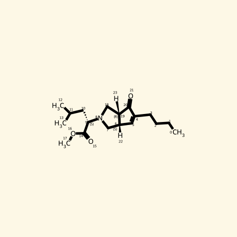 CCCCC1=C[C@@H]2CN([C@@H](CC(C)C)C(=O)OC)C[C@@H]2C1=O